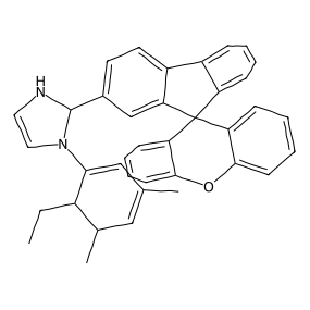 CCC1C(N2C=CNC2c2ccc3c(c2)C2(c4ccccc4Oc4ccccc42)c2ccccc2-3)=CC(C)=CC1C